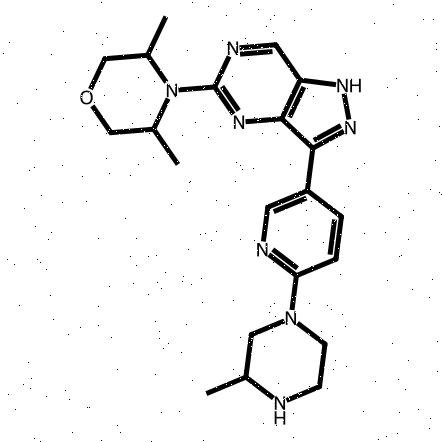 CC1CN(c2ccc(-c3n[nH]c4cnc(N5C(C)COCC5C)nc34)cn2)CCN1